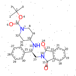 CC(C)(C)OC(=O)N1CCC(N[C@@H](CN2C(=O)c3ccccc3C2=O)c2ccccc2)CC1